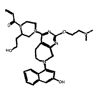 C=CC(=O)N1CCN(c2nc(OCCN(C)C)nc3c2CCN(c2cc(O)cc4ccccc24)C3)CC1CCO